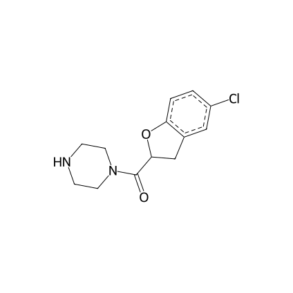 O=C(C1Cc2cc(Cl)ccc2O1)N1CCNCC1